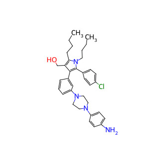 CCCCc1c(CO)c(-c2cccc(N3CCN(c4ccc(N)cc4)CC3)c2)c(-c2ccc(Cl)cc2)n1CCCC